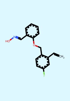 C=Cc1cc(F)ccc1COc1ccccc1/C=N/O